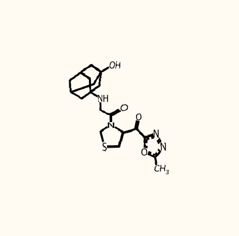 Cc1nnc(C(=O)C2CSCN2C(=O)CNC23CC4CC(CC(O)(C4)C2)C3)o1